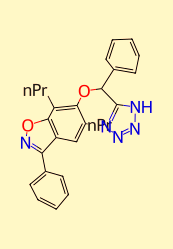 CCCc1cc2c(-c3ccccc3)noc2c(CCC)c1OC(c1ccccc1)c1nnn[nH]1